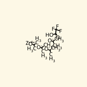 CC(C)[O-].CC(C)[O-].CC(C)[O-].CC(C)[O-].O=C(O)C(F)(F)F.[Zr+4]